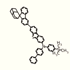 C[Si](C)(C)c1ccc(N(c2ccc(-c3ccccc3)cc2)c2ccc3c(c2)sc2cc(-c4ccc5c(c4)-c4ccccc4C54C5CC6CC(C5)CC4C6)ccc23)cc1